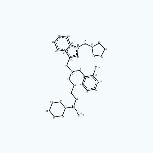 CN(CCCCN(Cc1cccnc1F)Cc1cn(SN2CCCC2)c2ccccc12)C1CCCCC1